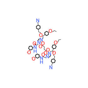 CCCOc1ccc(C(CN2C=CN(CC(=O)Nc3cccc(OC)c3)C2OC(=O)CCC(=O)OC2N(CC(=O)Nc3cccc(OC)c3)C=CN2CC(OCCc2ccc(C#N)cc2)c2ccc(OCCC)cc2)OCCc2ccc(C#N)cc2)cc1